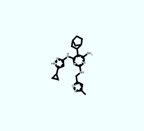 Cc1cc(CNc2nc(N)c(C3CC4CCC3C4)c(Nc3cc(C4CC4)[nH]n3)n2)on1